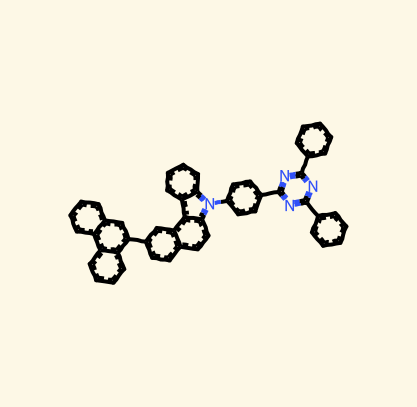 c1ccc(-c2nc(-c3ccccc3)nc(-c3ccc(-n4c5ccccc5c5c6cc(-c7cc8ccccc8c8ccccc78)ccc6ccc54)cc3)n2)cc1